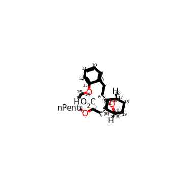 CCCCCOCC[C@@H]1[C@H](CCc2ccccc2OCC(=O)O)[C@@H]2CC[C@H]1O2